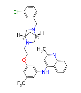 Cc1cc(Nc2cc(OCCN3C[C@@H]4C[C@H]3CN4Cc3cccc(Cl)c3)cc(C(F)(F)F)c2)c2ccccc2n1